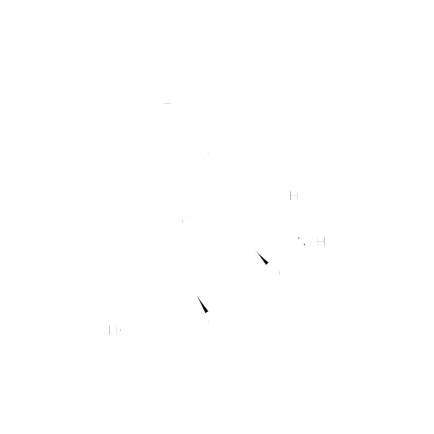 CCO[C@H]1O[C@@H]([C@@H](O)CO)[C@H](O)[C@H]1O.[NaH]